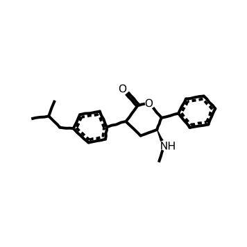 CN[C@H]1CC(c2ccc(CC(C)C)cc2)C(=O)OC1c1ccccc1